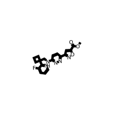 COC(=O)c1cc(-c2ccc(NCC3(c4ncccc4F)CCC3)nn2)no1